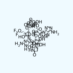 CO[C@H]1[C@H](n2cnc3c(N)ncnc32)OC(COP(=O)(O)OP(=O)(O)OP(=O)(O)OC[C@H]2O[C@@H](n3c[n+](C)c4c(=O)[nH]c(N)nc43)[C@H](O)[C@@H]2CCOC(F)F)[C@H]1P(=O)([O-])OC[C@H]1O[C@@H](n2ccc(=O)[nH]c2=O)[C@H](O)[C@@H]1O